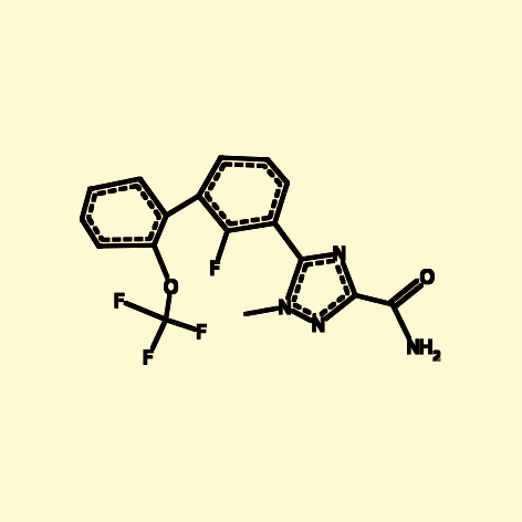 Cn1nc(C(N)=O)nc1-c1cccc(-c2ccccc2OC(F)(F)F)c1F